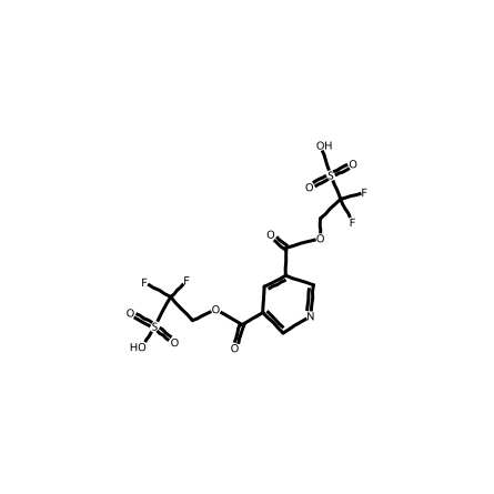 O=C(OCC(F)(F)S(=O)(=O)O)c1cncc(C(=O)OCC(F)(F)S(=O)(=O)O)c1